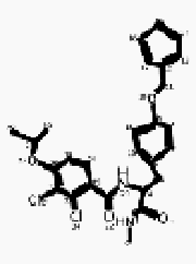 CNC(=O)C(Cc1ccc(OCc2ccccc2)cc1)NC(=O)c1ccc(OC(C)C)c(Cl)c1Cl